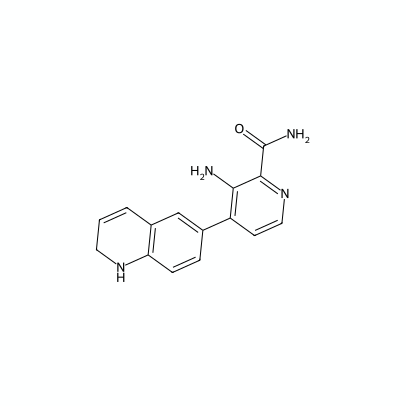 NC(=O)c1nccc(-c2ccc3c(c2)C=CCN3)c1N